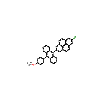 Fc1cc2ccc3cc(-c4c5ccccc5c(-c5ccc(OC(F)(F)F)cc5)c5ccccc45)cc4ccc(c1)c2c34